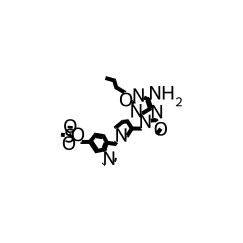 CCCCOc1nc(N)c2nc(OC)n(CC3CCCN(Cc4ccc(COS(C)(=O)=O)cc4N(C)C)C3)c2n1